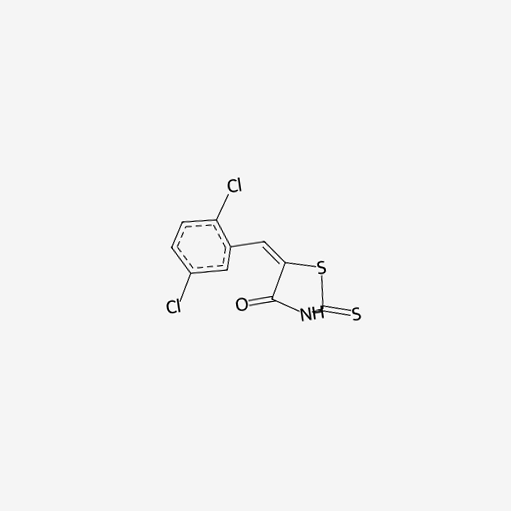 O=C1NC(=S)SC1=Cc1cc(Cl)ccc1Cl